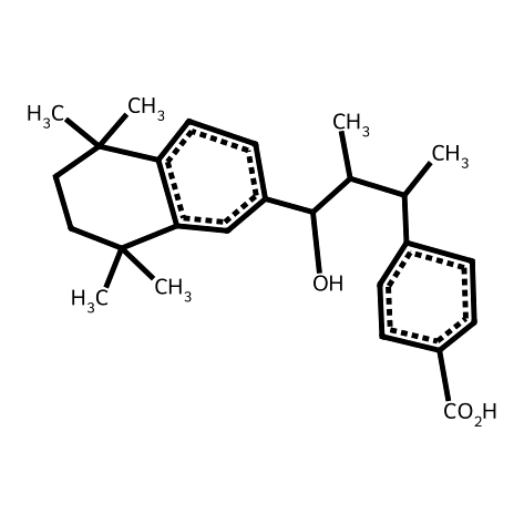 CC(c1ccc(C(=O)O)cc1)C(C)C(O)c1ccc2c(c1)C(C)(C)CCC2(C)C